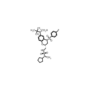 CN(C1CCCC1)S(=O)(=O)NC[C@H]1CN(S(=O)(=O)c2ccc(F)cc2)c2cc(N(C(=O)O)C(C)(C)C(F)(F)F)ccc2O1